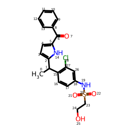 CC(c1ccc(C(=O)c2ccccc2)[nH]1)c1ccc(NS(=O)(=O)CCO)cc1Cl